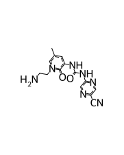 Cc1cc(NC(=O)Nc2cnc(C#N)cn2)c(=O)n(CCN)c1